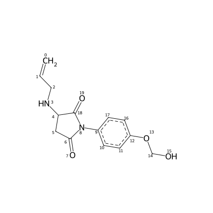 C=CCNC1CC(=O)N(c2ccc(OCO)cc2)C1=O